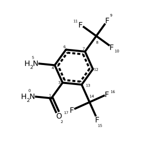 NC(=O)c1c(N)cc(C(F)(F)F)cc1C(F)(F)F